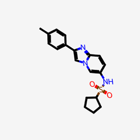 Cc1ccc(-c2cn3cc(NS(=O)(=O)C4CCCC4)ccc3n2)cc1